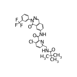 CC(C)(C)C(=O)NCc1ccc(Cl)c(C(=O)Nc2ccc3cnn(-c4cccc(C(F)(F)F)c4)c(=O)c3c2)n1